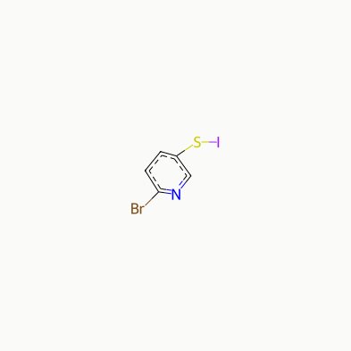 Brc1ccc(SI)cn1